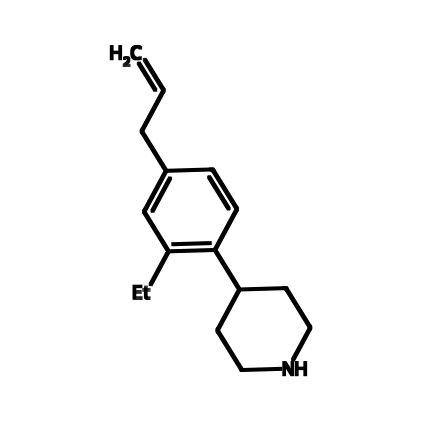 C=CCc1ccc(C2CCNCC2)c(CC)c1